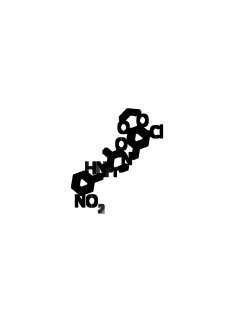 CC(C)CN(Cc1cc(Cl)c2c(c1)OCCCO2)C(=O)C(C)CNCc1cccc([N+](=O)[O-])c1